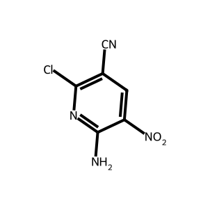 N#Cc1cc([N+](=O)[O-])c(N)nc1Cl